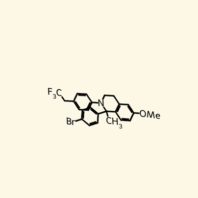 COc1ccc2c(c1)CCN(c1ccc(CC(F)(F)F)cc1)C2(C)c1ccc(Br)cc1